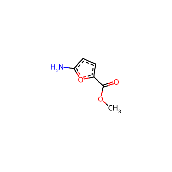 COC(=O)c1ccc(N)o1